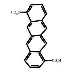 O=C(O)c1cccc2cc3cc4c(C(=O)O)cccc4cc3cc12